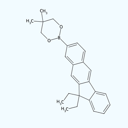 CCC1(CC)c2ccccc2-c2cc3ccc(B4OCC(C)(C)CO4)cc3cc21